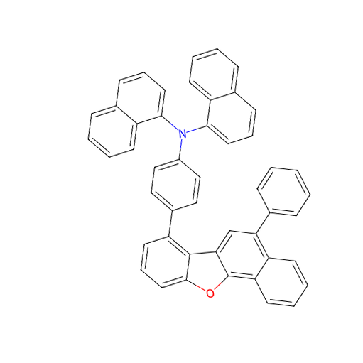 c1ccc(-c2cc3c(oc4cccc(-c5ccc(N(c6cccc7ccccc67)c6cccc7ccccc67)cc5)c43)c3ccccc23)cc1